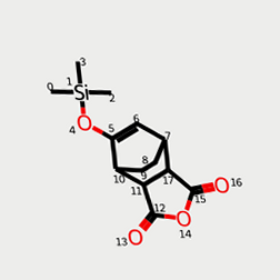 C[Si](C)(C)OC1=CC2CCC1C1C(=O)OC(=O)C21